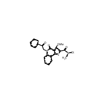 [CH2]CN(C)C(=O)c1sc2c(c1OC)c(=O)n(CC(=O)c1ccccc1)c1ccccc21